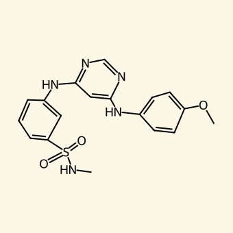 CNS(=O)(=O)c1cccc(Nc2cc(Nc3ccc(OC)cc3)ncn2)c1